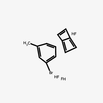 Cc1cccc(Br)c1.F.F.F.c1cc2ccc1-2